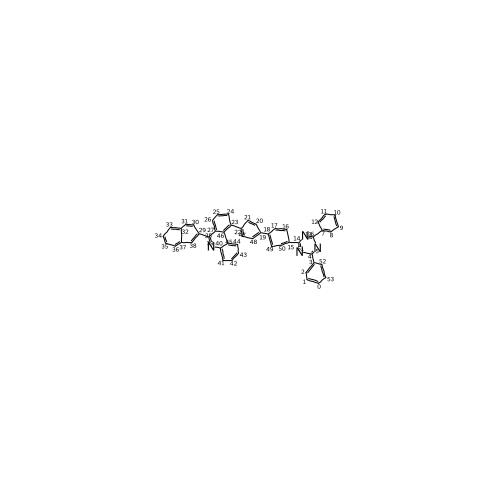 c1ccc(-c2nc(-c3ccccc3)nc(-c3ccc(-c4ccc(-c5cccc6c(-c7ccc8ccccc8c7)nc7ccccc7c56)cc4)cc3)n2)cc1